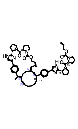 C=CCOC(=O)N1CCC[C@H]1C(=O)N1CCC[C@H]1c1nc(-c2ccc(/C3=C/C(=C\C)CCC(=C(/C)c4ccc(-c5c[nH]c([C@@H]6CCCN6C(=O)[C@@H]6CCCN6C(=O)OCC=C)n5)cc4)/C=C\CCC[C@H]3C)cc2)c[nH]1